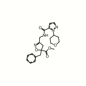 COC(=O)C1(Cc2ccccc2)CC(CNC(=O)c2ccnn2C2CCOCC2)=NO1